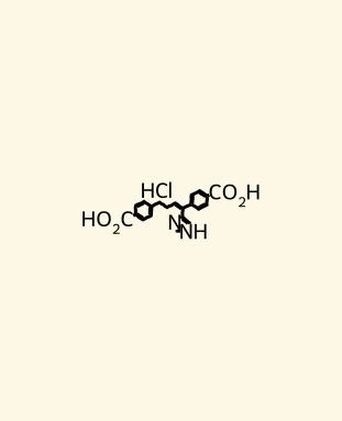 Cl.O=C(O)c1ccc(CCC=C(c2ccc(C(=O)O)cc2)c2c[nH]cn2)cc1